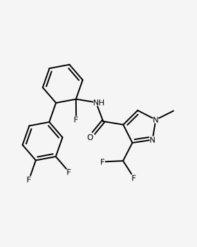 Cn1cc(C(=O)NC2(F)C=CC=CC2c2ccc(F)c(F)c2)c(C(F)F)n1